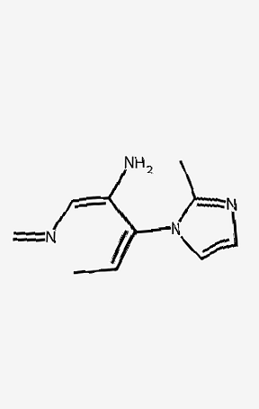 C=N/C=C(N)\C(=C/C)n1ccnc1C